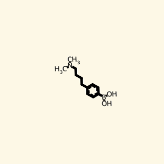 CN(C)CCCCc1ccc(B(O)O)cc1